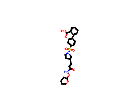 O=C(C=Cc1ccn(S(=O)(=O)c2ccc(-c3ccccc3C(=O)O)cc2)c1)NOC1CCCCO1